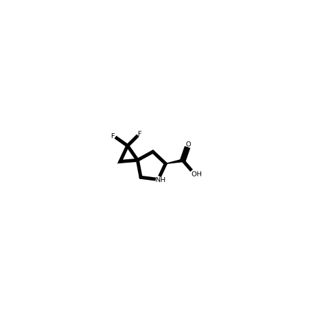 O=C(O)[C@@H]1CC2(CN1)CC2(F)F